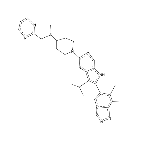 Cc1c(-c2[nH]c3ccc(N4CCC(N(C)Cc5ncccn5)CC4)nc3c2C(C)C)cn2cnnc2c1C